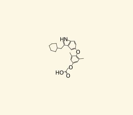 Cc1cc(OCC(=O)O)cc(C)c1Oc1ccc2[nH]cc(CC3CCCCC3)c2c1